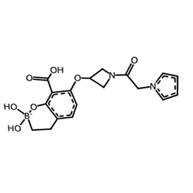 O=C(O)c1c(OC2CN(C(=O)Cn3cccc3)C2)ccc2c1O[B-](O)(O)CC2